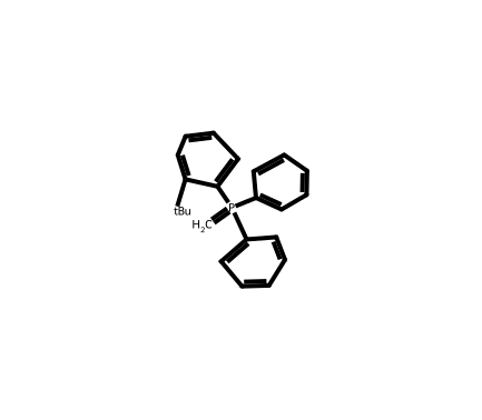 C=P(c1ccccc1)(c1ccccc1)c1ccccc1C(C)(C)C